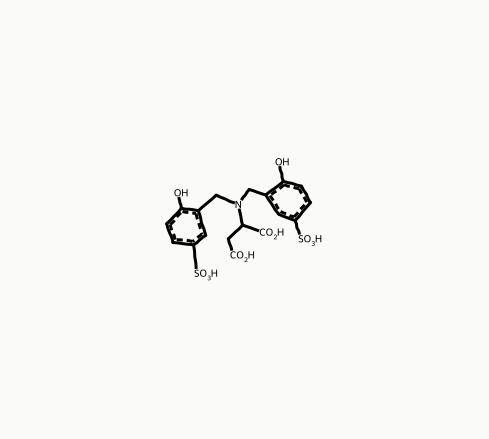 O=C(O)CC(C(=O)O)N(Cc1cc(S(=O)(=O)O)ccc1O)Cc1cc(S(=O)(=O)O)ccc1O